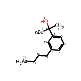 CCCCC(C)(O)c1cccc(CCC[AsH2])c1